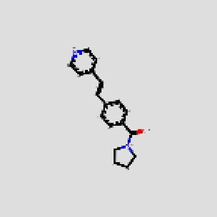 O=C(c1ccc(/C=C/c2ccncc2)cc1)N1CCCC1